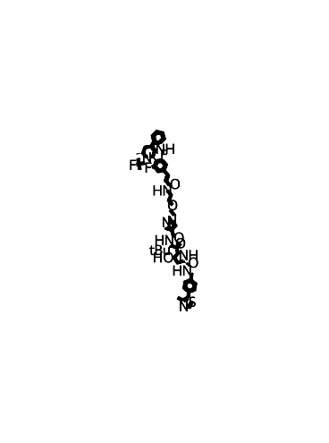 Cc1ncsc1-c1ccc(CNC(=O)[C@@H]2C[C@@H](O)C(C(=O)[C@@H](NC(=O)c3cnn(CCOCCNC(=O)/C=C/c4cc(F)c([C@@H]5c6[nH]c7ccccc7c6C[C@@H](C)N5CC(C)(C)F)c(F)c4)c3)C(C)(C)C)N2)cc1